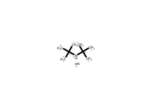 C[C](C)(C)[AlH][C](C)(C)C.[HH]